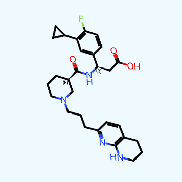 O=C(O)C[C@@H](NC(=O)[C@@H]1CCCN(CCCc2ccc3c(n2)NCCC3)C1)c1ccc(F)c(C2CC2)c1